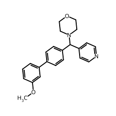 COc1cccc(-c2ccc(C(c3ccncc3)N3CCOCC3)cc2)c1